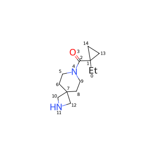 CCC1(C(=O)N2CCC3(CC2)CNC3)CC1